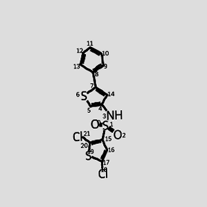 O=S(=O)(Nc1csc(-c2ccccc2)c1)c1cc(Cl)sc1Cl